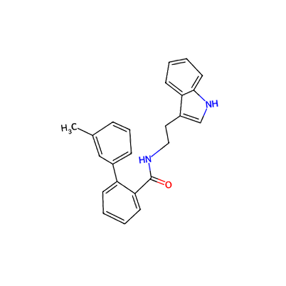 Cc1cccc(-c2ccccc2C(=O)NCCc2c[nH]c3ccccc23)c1